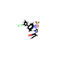 CC(C)C(=O)N1CC[C@@H](NS(C)(=O)=O)[C@H]1Cc1cccc(-c2cccc(Cl)c2)c1